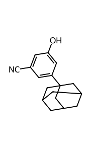 N#Cc1cc(O)cc(C23CC4CC(CC(C4)C2)C3)c1